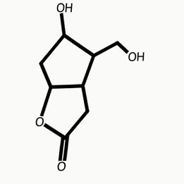 O=C1CC2C(CC(O)C2CO)O1